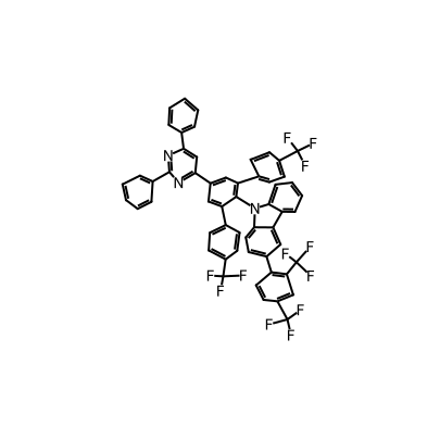 FC(F)(F)c1ccc(-c2cc(-c3cc(-c4ccccc4)nc(-c4ccccc4)n3)cc(-c3ccc(C(F)(F)F)cc3)c2-n2c3ccccc3c3cc(-c4ccc(C(F)(F)F)cc4C(F)(F)F)ccc32)cc1